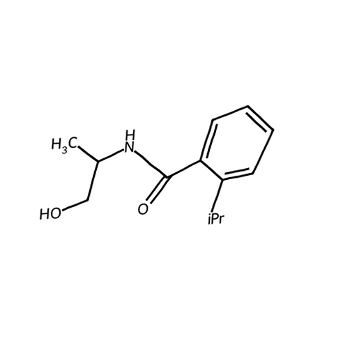 CC(CO)NC(=O)c1ccccc1C(C)C